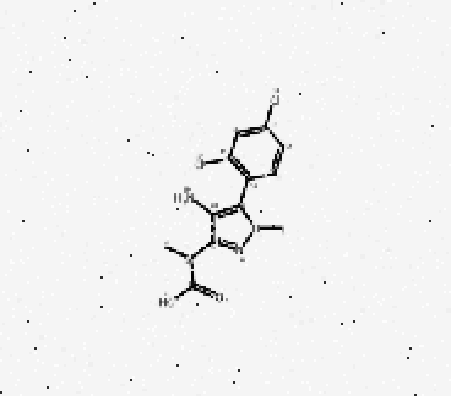 CC(C(=O)O)c1nn(C)c(-c2ccc(Cl)cc2Cl)c1N